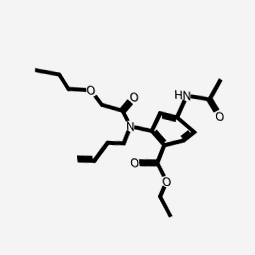 C=CCCN(C(=O)COCCC)c1cc(NC(C)=O)ccc1C(=O)OCC